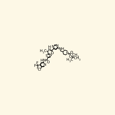 CC(NC(=O)c1cc(NCC2CCN(C(=O)OC(C)(C)C)CC2)ncn1)c1ncc(C(=O)Nc2cc(C(F)(F)F)c(Cl)cn2)s1